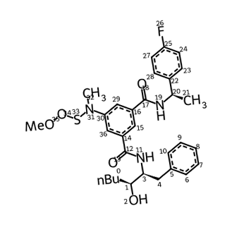 CCCC[C@H](O)[C@H](Cc1ccccc1)NC(=O)c1cc(C(=O)N[C@H](C)c2ccc(F)cc2)cc(N(C)SOOC)c1